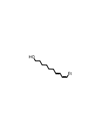 CC/C=C\C=C\CCCCCCO